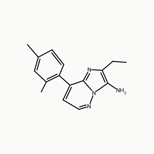 CCc1nc2c(-c3ccc(C)cc3C)ccnn2c1N